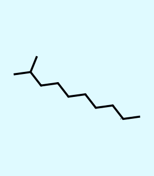 C[CH]CCCCCCC(C)C